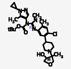 C=N/C(=N\c1cc(C2CCN(C3(C)COC[C@H]3O)CC2)c(Cl)cc1C)N(C(=O)OC(C)(C)C)c1cnn(C2CC2)c1C